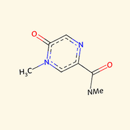 CNC(=O)c1cn(C)c(=O)cn1